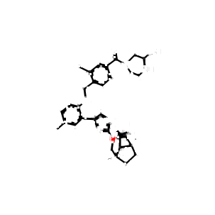 Cc1ccc(OCc2ccc(C(=O)N3CCNC(O)C3)cc2C)c(-c2csc(N3C[C@H]4CC[C@@H](C3)[C@H]4C(=O)O)n2)c1